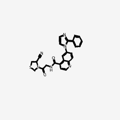 N#CC1CSCN1C(=O)CNC(=O)c1ccnc2ccc(-n3ccnc3-c3ccccc3)cc12